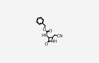 N#CCC1NC(=O)C1NC(=O)OCc1ccccc1